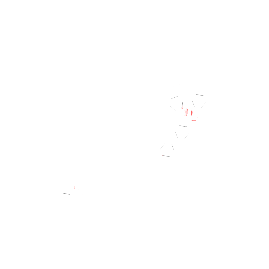 C=CC(=O)OCCCCCCCCCCCOc1ccc(-c2ccc(C(=O)Oc3cccc4c3-c3c(O)cccc3OC[C@@H](C)O4)cc2)cc1